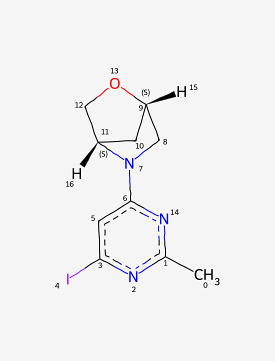 Cc1nc(I)cc(N2C[C@@H]3C[C@H]2CO3)n1